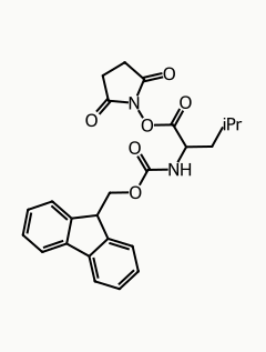 CC(C)CC(NC(=O)OCC1c2ccccc2-c2ccccc21)C(=O)ON1C(=O)CCC1=O